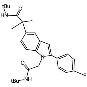 CC(C)(C)NC(=O)Cn1c(-c2ccc(F)cc2)cc2cc(C(C)(C)C(=O)NC(C)(C)C)ccc21